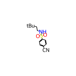 CC(C)(C)CCNS(=O)(=O)c1ccc(C#N)cc1